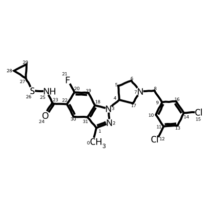 Cc1nn(C2CCN(Cc3cc(Cl)cc(Cl)c3)C2)c2cc(F)c(C(=O)NSC3CC3)cc12